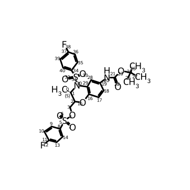 C[C@H]1C(COS(=O)(=O)c2ccc(F)cc2)Oc2ccc(NC(=O)OC(C)(C)C)cc2N1S(=O)(=O)c1ccc(F)cc1